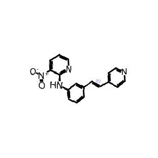 O=[N+]([O-])c1cccnc1Nc1cccc(/C=C/c2ccncc2)c1